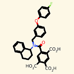 O=C(O)c1cc(C(=O)O)c(C(=O)N(Cc2cccc(Oc3ccc(F)cc3)c2)[C@H]2CCCc3ccccc32)cc1C(=O)O